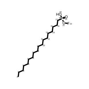 CCCCCCCCCCCCCCCCCCP(=O)(O)OF